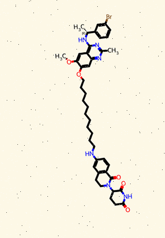 COc1cc2c(N[C@H](C)c3cccc(Br)c3)nc(C)nc2cc1OCCCCCCCCCCCNc1ccc2c(c1)CCN(C1CCC(=O)NC1=O)C2=O